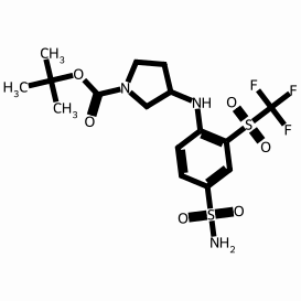 CC(C)(C)OC(=O)N1CCC(Nc2ccc(S(N)(=O)=O)cc2S(=O)(=O)C(F)(F)F)C1